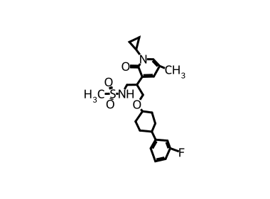 Cc1cc(C(CNS(C)(=O)=O)COC2CCC(c3cccc(F)c3)CC2)c(=O)n(C2CC2)c1